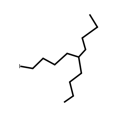 CCCCC(CCCC)CCCCI